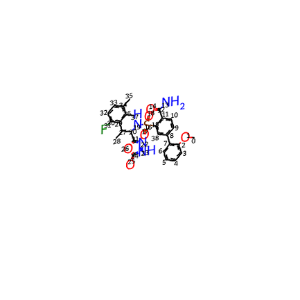 COc1ccccc1-c1ccc(C(N)=O)c(S(=O)(=O)NC(c2n[nH]c(=O)o2)C(C)c2c(F)ccc(C)c2C)c1